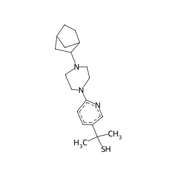 CC(C)(S)c1ccc(N2CCN(C3CC4CCC3C4)CC2)nc1